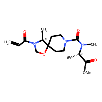 C=CC(=O)N1COC2(CCN(C(=O)N(C)[C@H](C(=O)OC)C(C)C)CC2)[C@@H]1C